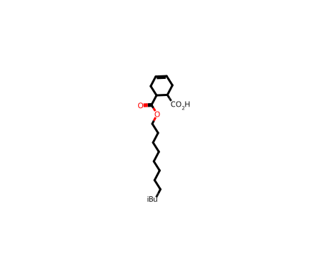 CCC(C)CCCCCCCCOC(=O)C1CC=CCC1C(=O)O